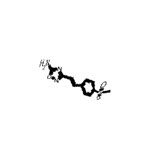 CS(=O)(=O)c1ccc(C=Cc2noc(N)n2)cc1